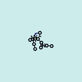 C=C1c2ccccc2/C=C\CN(c2nc(-c3ccc(-c4ccccc4)cc3)c3ccccc3n2)c2ccc(-c3ccc4c(c3)c3ccccc3n4-c3ccc(-c4ccccc4)cc3)cc21